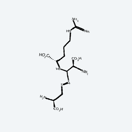 N=C(N)NCCC[C@H](NC(SSC[C@H](N)C(=O)O)[C@H](N)C(=O)O)C(=O)O